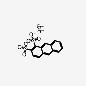 O=S(=O)([O-])c1ccc2cc3ccccc3cc2c1S(=O)(=O)[O-].[Fr+].[Fr+]